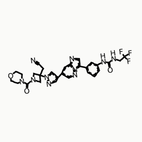 N#CCC1(n2cc(-c3cnn4c(-c5cccc(NC(=O)NCC(F)(F)F)c5)cnc4c3)cn2)CN(C(=O)N2CCOCC2)C1